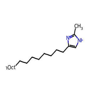 CCCCCCCCCCCCCCCCc1c[nH]c(C)n1